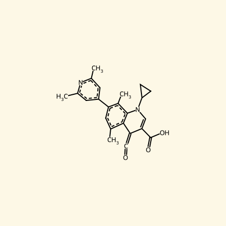 Cc1cc(-c2cc(C)c3c(c2C)N(C2CC2)C=C(C(=O)O)C3=C=O)cc(C)n1